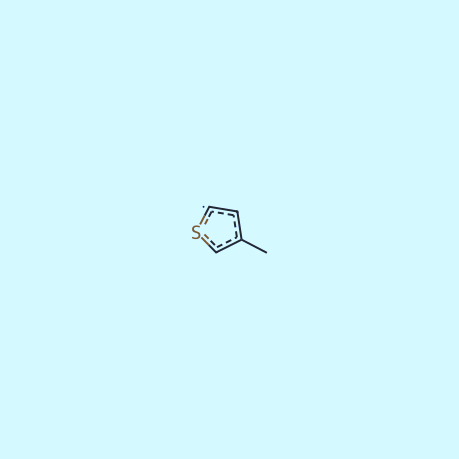 Cc1c[c]sc1